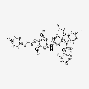 CCCOc1cc(F)ccc1N(C(=O)Oc1c(C)cccc1C)c1ccnc(Nc2cc(OC)c(OCCCN3CCN(C)CC3)c(OC)c2)n1